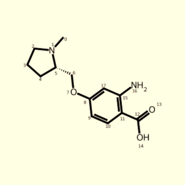 CN1CCC[C@H]1COc1ccc(C(=O)O)c(N)c1